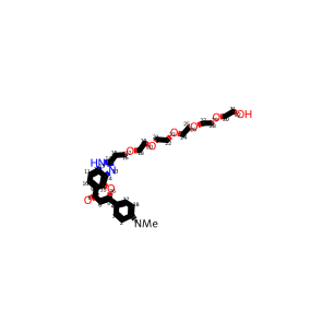 CNc1ccc(-c2cc(=O)c3ccc4[nH]c(CCOCCOCCOCCOCCOCCO)nc4c3o2)cc1